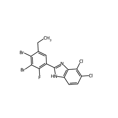 CCc1cc(-c2nc3c(Cl)c(Cl)ccc3[nH]2)c(F)c(Br)c1Br